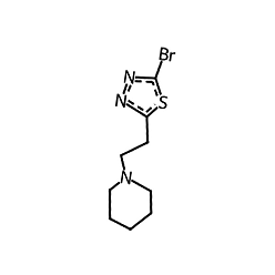 Brc1nnc(CCN2CCCCC2)s1